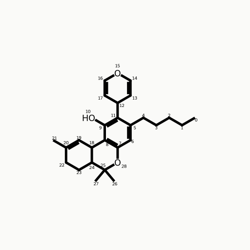 CCCCCc1cc2c(c(O)c1C1C=COC=C1)C1C=C(C)CCC1C(C)(C)O2